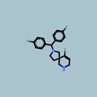 FC1=CCNCC12CCN(C(c1ccc(F)cc1)c1ccc(F)cc1)C2